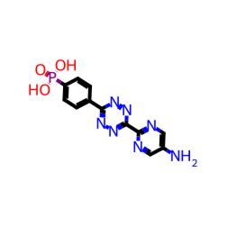 Nc1cnc(-c2nnc(-c3ccc(P(=O)(O)O)cc3)nn2)nc1